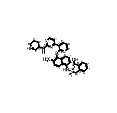 Cc1ccc2c(NS(=O)(=O)Cc3ccccc3CO)cccc2c1Oc1ncccc1-c1ccnc(NC2CCCNC2)n1